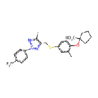 Cc1cc(SCc2nn(-c3ccc(C(F)(F)F)cc3)nc2C)ccc1OC1(C(=O)O)CCCC1